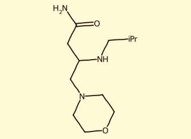 CC(C)CNC(CC(N)=O)CN1CCOCC1